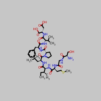 CC[C@H](C)[C@H](NC(=O)[C@H](CCSC)NC(=O)CNC(=O)[C@@H](N)CO)C(=O)N[C@@H](CC(C)C)C(=O)N1CCC[C@H]1C(=O)N[C@@H](Cc1ccccc1)C(=O)N[C@H](C(=O)N[C@@H](CC(=O)O)C(=O)O)C(C)C